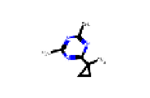 Cc1nc(C)nc(C2(C)CC2)n1